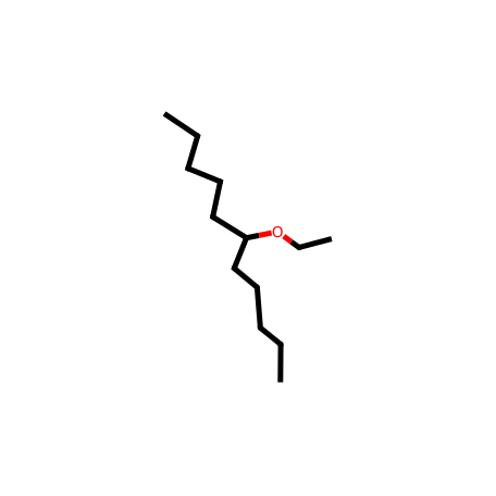 CCCCCC(CCCCC)OCC